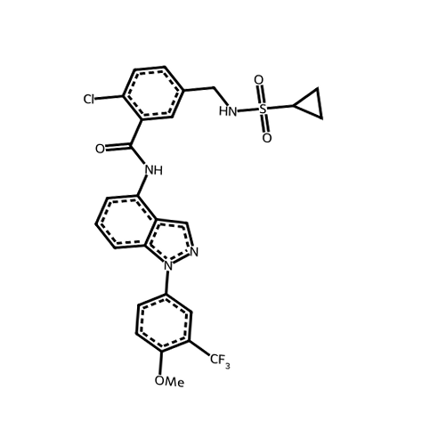 COc1ccc(-n2ncc3c(NC(=O)c4cc(CNS(=O)(=O)C5CC5)ccc4Cl)cccc32)cc1C(F)(F)F